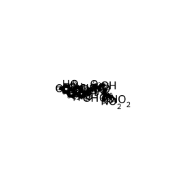 C[C@]12C=CC(=O)C=C1CC[C@H]1[C@@H]3C[C@@H](O)[C@](O)(C(=O)COC(=O)C(CO)NC(=O)C(CO[N+](=O)[O-])O[N+](=O)[O-])[C@@]3(C)C[C@H](O)[C@@]12F